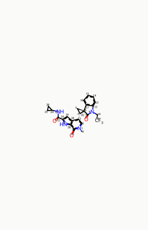 Cn1cc([C@@H]2C[C@@]23C(=O)N(CC(F)(F)F)c2ccccc23)c2cc(C(=O)NC3CC3)[nH]c2c1=O